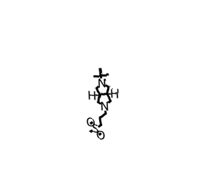 CC(C)(C)N1C[C@H]2CN(CCCS(C)(=O)=O)C[C@H]2C1